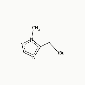 Cn1ncnc1CC(C)(C)C